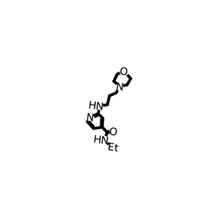 CCNC(=O)c1ccnc(NCCCN2CCOCC2)c1